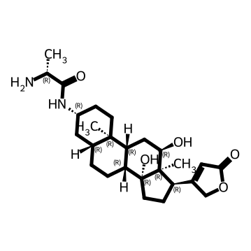 C[C@@H](N)C(=O)N[C@@H]1CC[C@]2(C)[C@H](CC[C@@H]3[C@H]2C[C@@H](O)[C@@]2(C)[C@@H](C4=CC(=O)OC4)CC[C@@]32O)C1